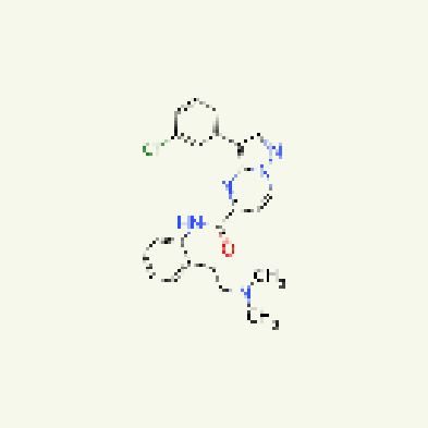 CN(C)CCc1ccccc1NC(=O)c1ccn2ncc(-c3cccc(Cl)c3)c2n1